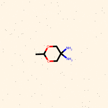 CC1OCC(N)(N)CO1